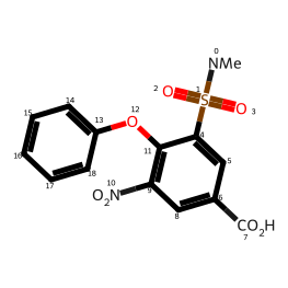 CNS(=O)(=O)c1cc(C(=O)O)cc([N+](=O)[O-])c1Oc1ccccc1